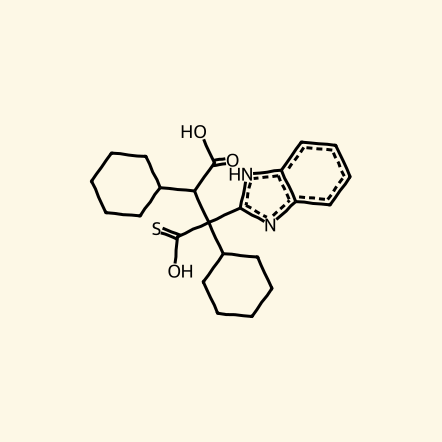 O=C(O)C(C1CCCCC1)C(C(O)=S)(c1nc2ccccc2[nH]1)C1CCCCC1